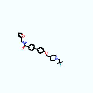 CC(C)(F)CN1CCC(COc2ccc(-c3ccc(C(=O)NCc4ccco4)cc3)cc2)CC1